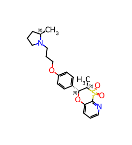 C[C@@H]1CCCN1CCCOc1ccc([C@H]2Oc3cccnc3S(=O)(=O)[C@@H]2C)cc1